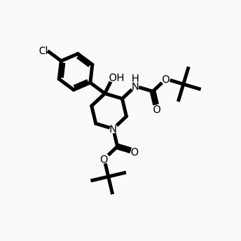 CC(C)(C)OC(=O)NC1CN(C(=O)OC(C)(C)C)CCC1(O)c1ccc(Cl)cc1